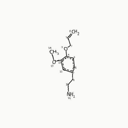 C=CCOc1ccc(CCN)cc1OC